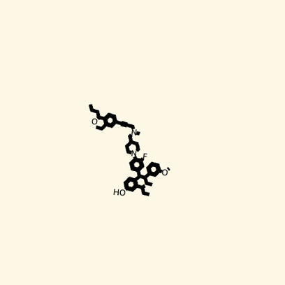 CCCC(=O)c1ccc(C#CCN(C)CC2CCN(c3ccc(C(c4ccc(O)cc4C(C)CC)C(CC)c4cccc(OC)c4)cc3F)CC2)cc1CC